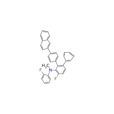 CN(c1ccccc1F)c1c(F)ccc(-c2ccccc2)c1-c1ccc(-c2ccc3ccccc3c2)cc1